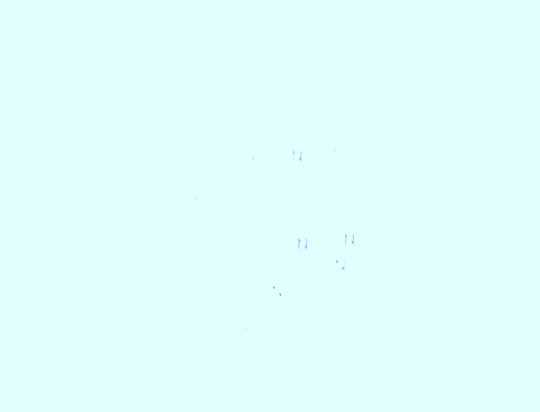 CC(CN1C(=O)c2ccccc2C1=O)c1nnc2n1-c1ccc(Cl)cc1C(c1ccccc1F)=NC2